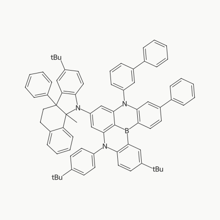 CC(C)(C)c1ccc(N2c3ccc(C(C)(C)C)cc3B3c4ccc(-c5ccccc5)cc4N(c4cccc(-c5ccccc5)c4)c4cc(N5c6ccc(C(C)(C)C)cc6C6(c7ccccc7)CCc7ccccc7C56C)cc2c43)cc1